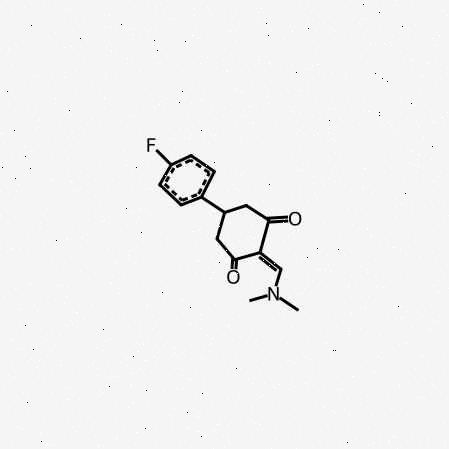 CN(C)C=C1C(=O)CC(c2ccc(F)cc2)CC1=O